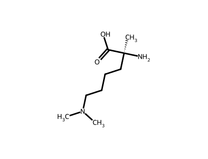 CN(C)CCCC[C@](C)(N)C(=O)O